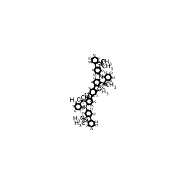 CC1(C)c2ccccc2N(c2ccc3c(c2)[Si](C)(C)c2ccccc2-3)c2ccc3c(oc4cc5c(cc43)oc3c4c(ccc35)N(c3ccc5c(c3)[Si](C)(C)c3ccccc3-5)c3ccccc3C4(C)C)c21